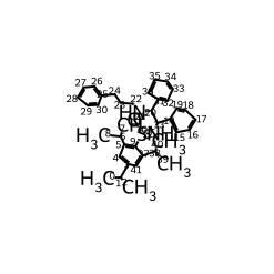 CC(C)c1cc(C(C)C)c([S+]([O-])NC(c2ccccc2)[C@@H](NCCCc2ccccc2)c2ccccc2)c(C(C)C)c1